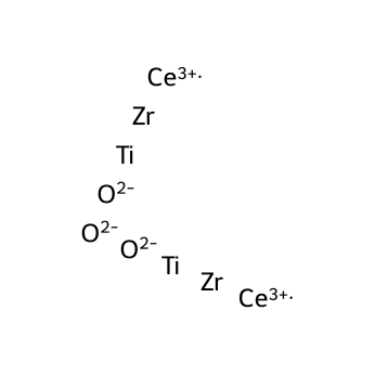 [Ce+3].[Ce+3].[O-2].[O-2].[O-2].[Ti].[Ti].[Zr].[Zr]